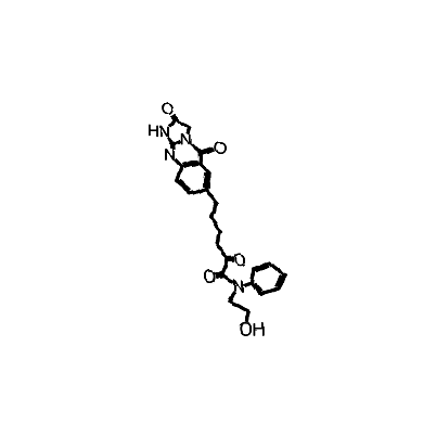 O=C1Cn2c(nc3ccc(CCCCC(=O)C(=O)N(CCO)c4ccccc4)cc3c2=O)N1